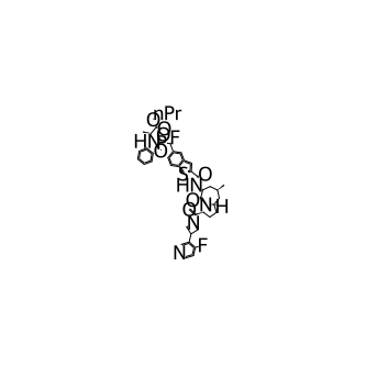 CCCOC(=O)[C@H](C)NP(=O)(Oc1ccccc1)C(F)c1ccc2sc(C(=O)N[C@H]3C[C@@H](C)C[C@H]4CC[C@@H](C(=O)N5CC(c6cnccc6F)C5)N4C3=O)cc2c1